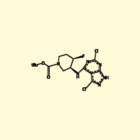 CC(C)(C)OC(=O)N1CC[C@@H](F)[C@@H](Nc2nc(Cl)nc3[nH]nc(Cl)c23)C1